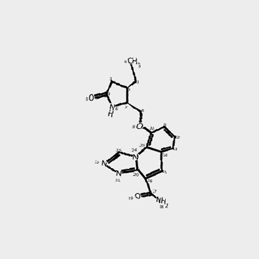 CC[C@@H]1CC(=O)N[C@@H]1COc1cccc2cc(C(N)=O)c3nncn3c12